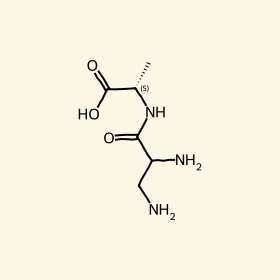 C[C@H](NC(=O)C(N)CN)C(=O)O